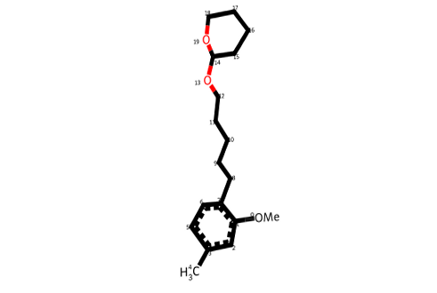 COc1cc(C)ccc1CCCCCOC1CCCCO1